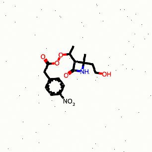 CC(OOC(=O)Cc1ccc([N+](=O)[O-])cc1)C1C(=O)NC1(C)CCO